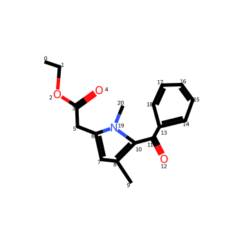 CCOC(=O)Cc1cc(C)c(C(=O)c2ccccc2)n1C